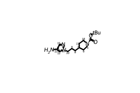 CC(C)(C)OC(=O)N1CCC(CCCn2cc(N)cn2)CC1